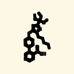 CCCCCn1nc(C(CC)(OC)OC)nc1Cc1ccc(-c2cnccc2C(=O)O)cc1